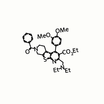 CCOC(=O)c1c(CN(CC)CC)nc2sc3c(c2c1-c1ccc(OC)c(OC)c1)CCN(C(=O)c1ccccc1)C3